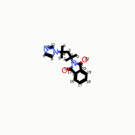 CC(C)(CC(C)(C)n1ccnc1)N1C(=O)c2ccccc2C1=O